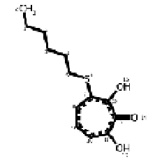 CCCCCCSc1cccc(O)c(=O)c1O